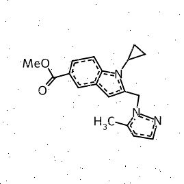 COC(=O)c1ccc2c(c1)cc(Cn1nccc1C)n2C1CC1